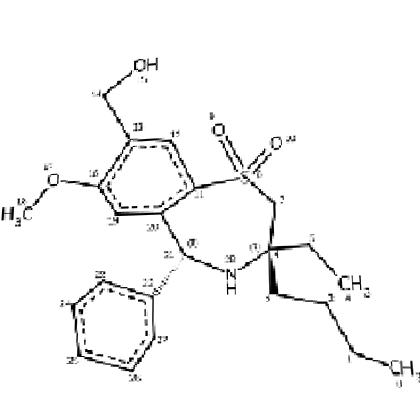 CCCC[C@]1(CC)CS(=O)(=O)c2cc(CO)c(OC)cc2[C@@H](c2ccccc2)N1